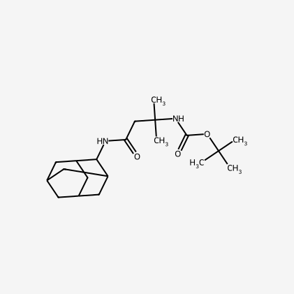 CC(C)(CC(=O)NC1C2CC3CC(C2)CC1C3)NC(=O)OC(C)(C)C